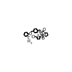 Cc1ccccc1OCc1ccc(CNC(=O)[C@@H]2CCCN2S(=O)(=O)c2ccc(Cl)s2)cc1